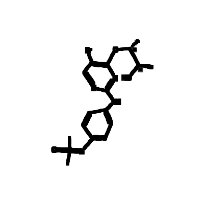 C[C@@H](O)[C@@H](C)Oc1nc(Nc2ccc(N=S(C)(C)=O)cc2)ncc1Br